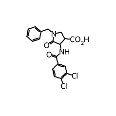 O=C(NC1C(=O)N(Cc2ccccc2)CC1C(=O)O)c1ccc(Cl)c(Cl)c1